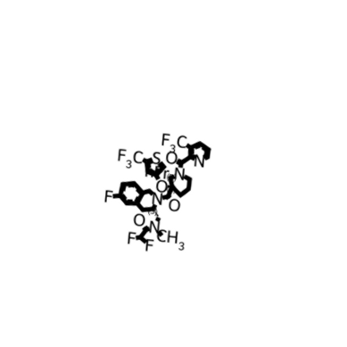 CCC[C@H]1N(C(=O)c2ncccc2C(F)(F)F)CCC[C@]1(Oc1csc(C(F)(F)F)c1)C(=O)N1Cc2ccc(F)cc2C[C@H]1CN(C)C(=O)C(F)F